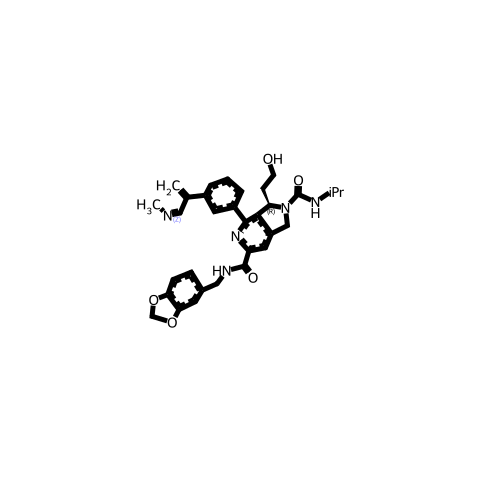 C=C(/C=N\C)c1cccc(-c2nc(C(=O)NCc3ccc4c(c3)OCO4)cc3c2[C@@H](CCO)N(C(=O)NC(C)C)C3)c1